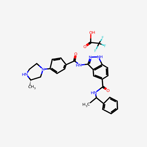 CC(NC(=O)c1ccc2[nH]nc(NC(=O)c3ccc(N4CCN[C@@H](C)C4)cc3)c2c1)c1ccccc1.O=C(O)C(F)(F)F